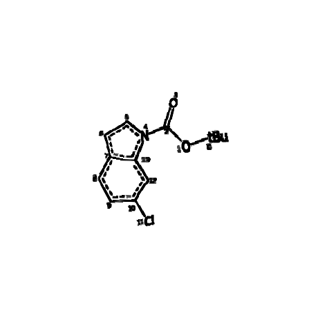 CC(C)(C)OC(=O)n1ccc2ccc(Cl)cc21